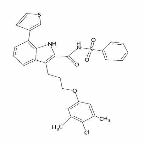 Cc1cc(OCCCc2c(C(=O)NS(=O)(=O)c3ccccc3)[nH]c3c(-c4ccsc4)cccc23)cc(C)c1Cl